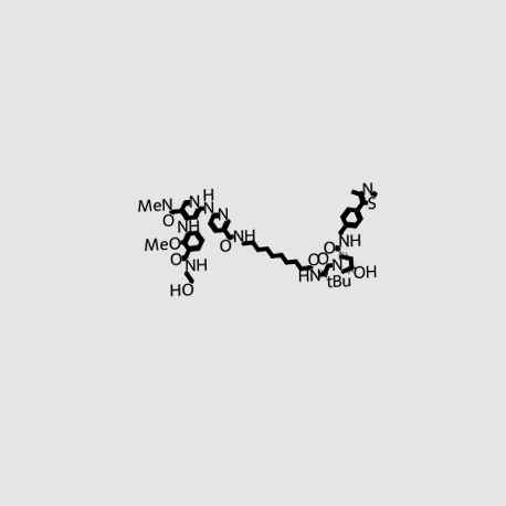 CNC(=O)c1cnc(Nc2ccc(C(=O)NCCCCCCCCCC(=O)N[C@H](C(=O)N3C[C@H](O)C[C@H]3C(=O)NCc3ccc(-c4scnc4C)cc3)C(C)(C)C)cn2)cc1Nc1cccc(C(=O)NCCO)c1OC